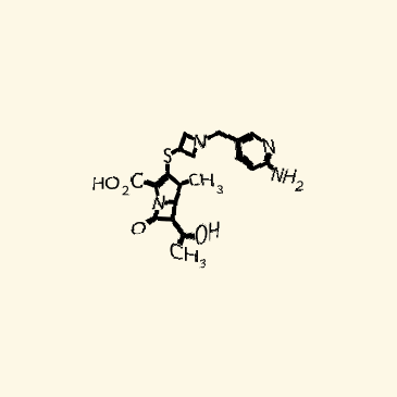 CC(O)C1C(=O)N2C(C(=O)O)=C(SC3CN(Cc4ccc(N)nc4)C3)C(C)C12